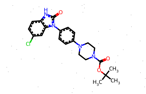 CC(C)(C)OC(=O)N1CCN(c2ccc(-n3c(=O)[nH]c4ccc(Cl)cc43)cc2)CC1